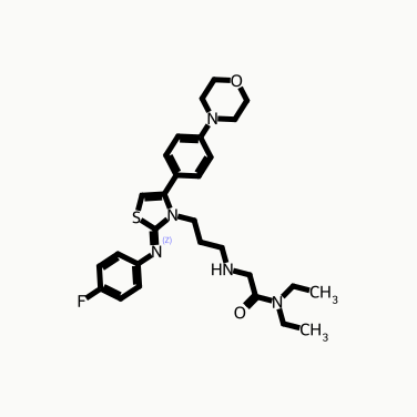 CCN(CC)C(=O)CNCCCn1c(-c2ccc(N3CCOCC3)cc2)cs/c1=N\c1ccc(F)cc1